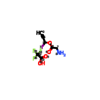 C#CC(I)OC(=O)CN.O=C(O)C(F)(F)F